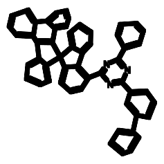 c1ccc(-c2cccc(-c3nc(-c4ccccc4)nc(-c4cccc5c4-c4ccccc4C54c5ccccc5-c5c4c4ccccc4c4ccccc54)n3)c2)cc1